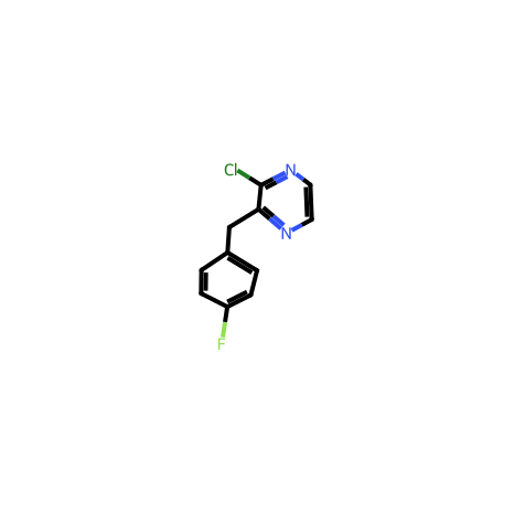 Fc1ccc(Cc2nccnc2Cl)cc1